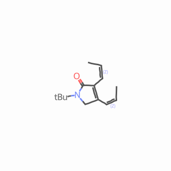 C/C=C\C1=C(/C=C\C)C(=O)N(C(C)(C)C)C1